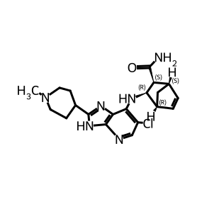 CN1CCC(c2nc3c(N[C@H]4[C@@H](C(N)=O)[C@@H]5C=C[C@H]4C5)c(Cl)cnc3[nH]2)CC1